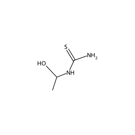 CC(O)NC(N)=S